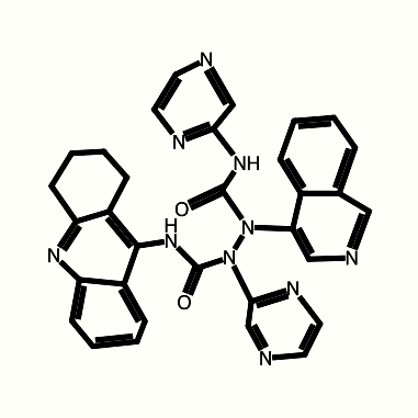 O=C(Nc1c2c(nc3ccccc13)CCCC2)N(c1cnccn1)N(C(=O)Nc1cnccn1)c1cncc2ccccc12